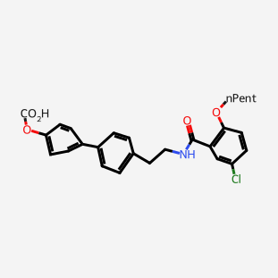 CCCCCOc1ccc(Cl)cc1C(=O)NCCc1ccc(-c2ccc(OC(=O)O)cc2)cc1